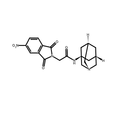 O=C(CN1C(=O)c2ccc([N+](=O)[O-])cc2C1=O)N[C@@]12C[C@@H]3C[C@@H](C[N@](C3)C1)C2